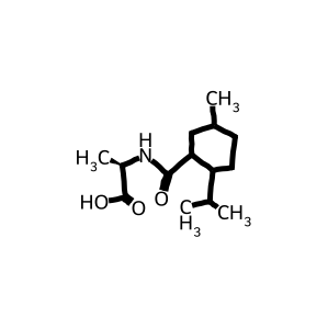 CC1CCC(C(C)C)C(C(=O)N[C@H](C)C(=O)O)C1